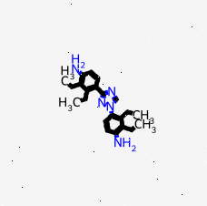 CCc1c(N)ccc(-c2ncn(-c3ccc(N)c(CC)c3CC)n2)c1CC